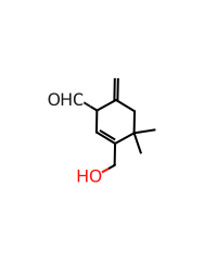 C=C1CC(C)(C)C(CO)=CC1C=O